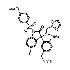 CNCc1ccc(OC)c(C2(NCc3ncco3)C(=O)N(S(=O)(=O)c3ccc(OC)cc3)c3ccc(Cl)cc32)c1